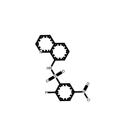 O=[N+]([O-])c1ccc(F)c(S(=O)(=O)Nc2cccc3cccnc23)c1